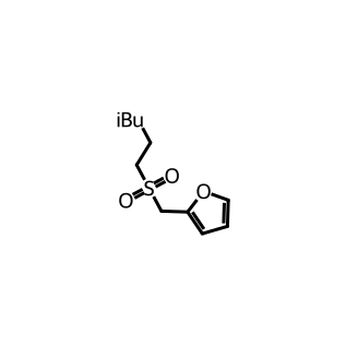 CCC(C)CCS(=O)(=O)Cc1ccco1